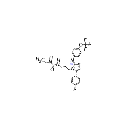 CCNC(=O)NCCCn1c(-c2ccc(F)cc2)cs/c1=N\c1ccc(OC(F)(F)F)cc1